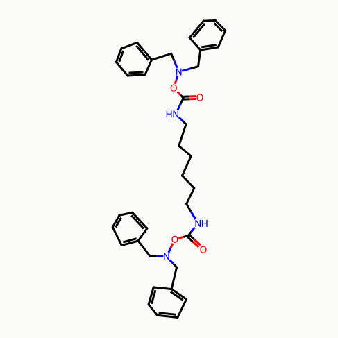 O=C(NCCCCCCNC(=O)ON(Cc1ccccc1)Cc1ccccc1)ON(Cc1ccccc1)Cc1ccccc1